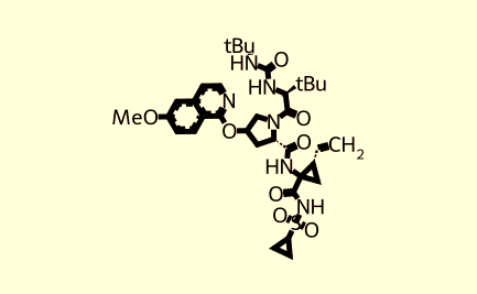 C=C[C@@H]1CC1(NC(=O)[C@@H]1CC(Oc2nccc3cc(OC)ccc23)CN1C(=O)[C@@H](NC(=O)NC(C)(C)C)C(C)(C)C)C(=O)NS(=O)(=O)C1CC1